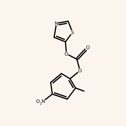 Cc1cc([N+](=O)[O-])ccc1OC(=O)Oc1cncs1